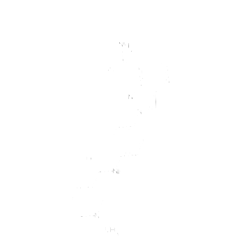 CN1CCCC(C(=O)Nc2ccc(-n3cc4cccc(C(N)=O)c4n3)cc2)C1